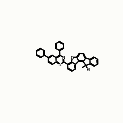 CCC1(C)c2ccccc2-c2ccc3oc4c(-c5nc(-c6ccccc6)c6cc(-c7ccccc7)ccc6n5)cccc4c3c21